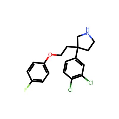 Fc1ccc(OCCC2(c3ccc(Cl)c(Cl)c3)CCNC2)cc1